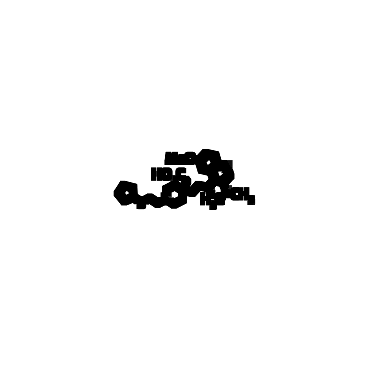 COc1ccc2ncc(N(C)C)c([C@@H](F)CCC3(CC(=O)O)CCN(CCSC4CCCC4)CC3)c2c1